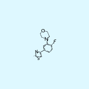 Fc1ccc(-c2cs[c]n2)cc1N1CCOCC1